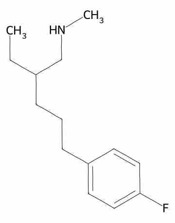 CCC(CCCc1ccc(F)cc1)CNC